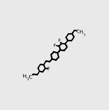 CCCC1CCC(CCC2CCC(C3CCC(C4CCC(CC)CC4)C(F)C3F)CC2)C(F)C1